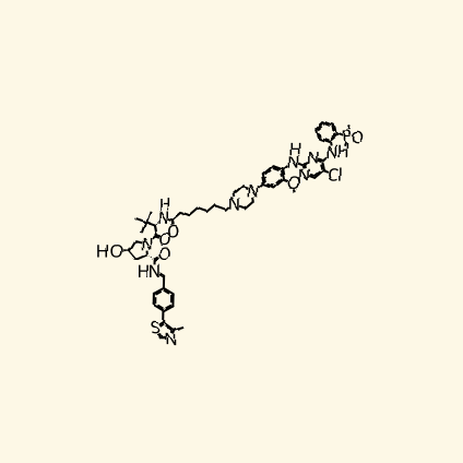 COc1cc(N2CCN(CCCCCCC(=O)N[C@H](C(=O)N3C[C@H](O)C[C@H]3C(=O)NCc3ccc(-c4scnc4C)cc3)C(C)(C)C)CC2)ccc1Nc1ncc(Cl)c(Nc2ccccc2P(C)(C)=O)n1